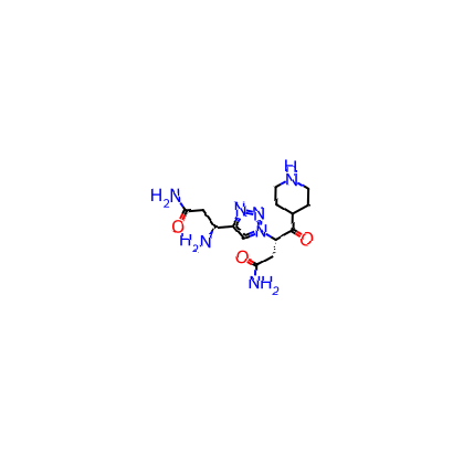 NC(=O)C[C@H](N)c1cn([C@@H](CC(N)=O)C(=O)C2CCNCC2)nn1